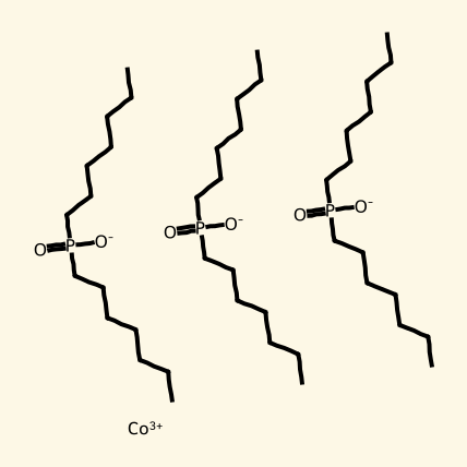 CCCCCCCP(=O)([O-])CCCCCCC.CCCCCCCP(=O)([O-])CCCCCCC.CCCCCCCP(=O)([O-])CCCCCCC.[Co+3]